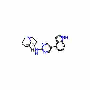 c1cc(-c2cnc(N[C@H]3CCN4CCC[C@@H]3C4)nc2)c2cc[nH]c2c1